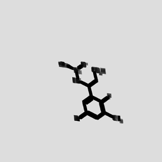 Cc1cc(Br)cc(C(CC(=O)O)N[S@+]([O-])C(C)(C)C)c1F